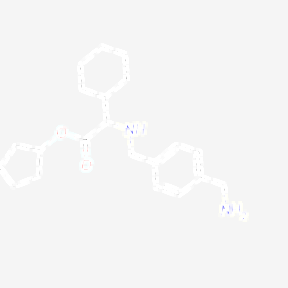 NCc1ccc(CNC(C(=O)OC2CCCC2)C2CCCCC2)cc1